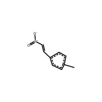 Cc1ccc(C=C[N+](=O)[O-])cc1